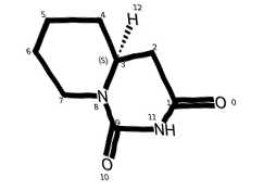 O=C1C[C@@H]2CCCCN2C(=O)N1